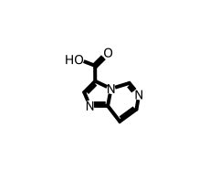 O=C(O)c1cnc2ccncn12